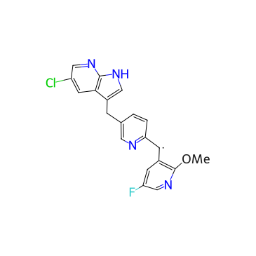 COc1ncc(F)cc1[CH]c1ccc(Cc2c[nH]c3ncc(Cl)cc23)cn1